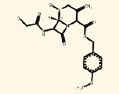 C=C1C[S+]([O-])[C@H]2C(NC(=O)CCl)C(=O)N2C1C(=O)OCc1ccc(OC)cc1